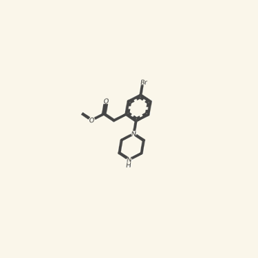 COC(=O)Cc1cc(Br)ccc1N1CCNCC1